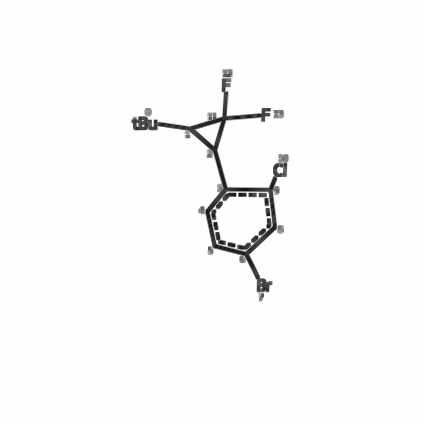 CC(C)(C)C1C(c2ccc(Br)cc2Cl)C1(F)F